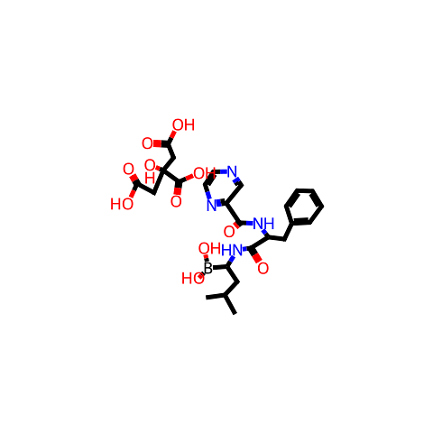 CC(C)CC(NC(=O)C(Cc1ccccc1)NC(=O)c1cnccn1)B(O)O.O=C(O)CC(O)(CC(=O)O)C(=O)O